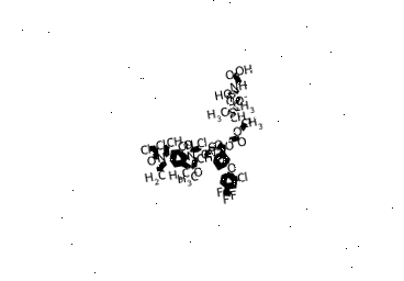 C=CCN(CC=C)C(=O)C(Cl)Cl.CCOC(=O)COC(=O)c1cc(Oc2ccc(C(F)(F)F)cc2Cl)ccc1[N+](=O)[O-].CCc1cccc(C)c1N(C(=O)CCl)C(C)COC.C[S+](C)C.O=C(O)CNCP(=O)([O-])O